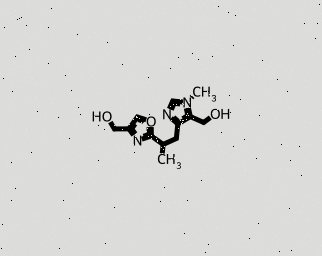 CC(Cc1ncn(C)c1CO)c1nc(CO)co1